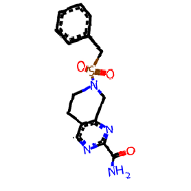 NC(=O)c1n[c]c2c(n1)CN(S(=O)(=O)Cc1ccccc1)CC2